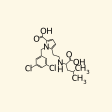 CC(C)CC(NCCc1ccc(C(=O)O)n1Cc1cc(Cl)cc(Cl)c1)C(=O)O